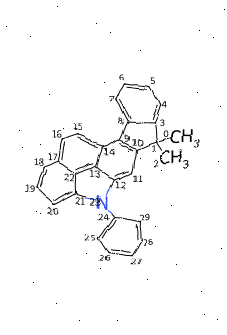 CC1(C)c2ccccc2-c2c1cc1c3c2ccc2cccc(c23)n1-c1ccccc1